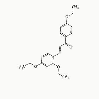 CCOc1ccc(C(=O)/C=C/c2ccc(OCC)cc2OCC)cc1